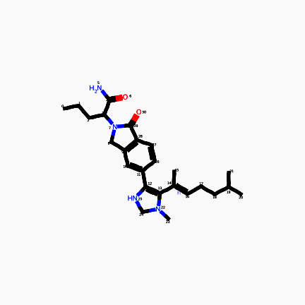 CCCC(C(N)=O)N1Cc2cc(C3=C(/C(C)=C/CCC(C)C)N(C)CN3)ccc2C1=O